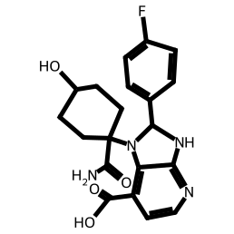 NC(=O)C1(N2c3c(C(=O)O)ccnc3NC2c2ccc(F)cc2)CCC(O)CC1